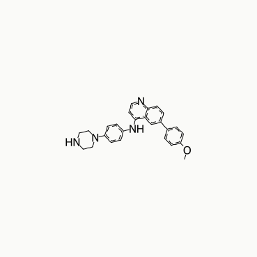 COc1ccc(-c2ccc3nccc(Nc4ccc(N5CCNCC5)cc4)c3c2)cc1